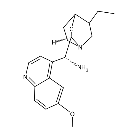 CCC1CN2CCC1C[C@@H]2[C@H](N)c1ccnc2ccc(OC)cc12